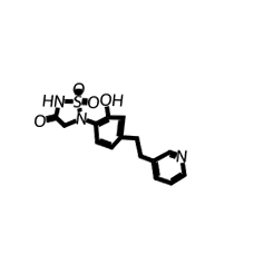 O=C1CN(c2ccc(CCc3cccnc3)cc2O)S(=O)(=O)N1